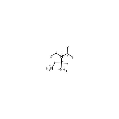 CCN(C(C)C)C(C)(N)CN